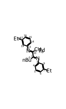 CCCCC(=N\c1cccc(CC)c1)/C(C)=N/c1cccc(CC)c1.[Pd]